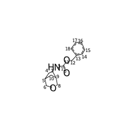 O=C(N[C@@H]1CC2COCC1C2)OCc1ccccc1